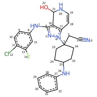 N#CCC1(n2nc(Nc3ccc(Cl)c(F)c3)c3c2C=CNC3O)CCC(Nc2ccccc2)CC1